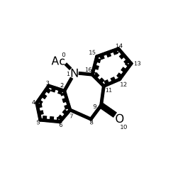 CC(=O)N1c2ccccc2CC(=O)c2ccccc21